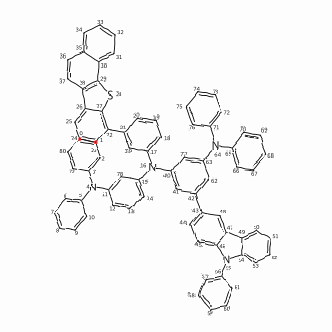 c1ccc(N(c2ccccc2)c2cccc(N(c3cccc(-c4cccc5c4sc4c6ccccc6ccc54)c3)c3cc(-c4ccc5c(c4)c4ccccc4n5-c4ccccc4)cc(N(c4ccccc4)c4ccccc4)c3)c2)cc1